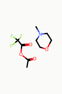 CC(=O)OC(=O)C(F)(F)F.CN1CCOCC1